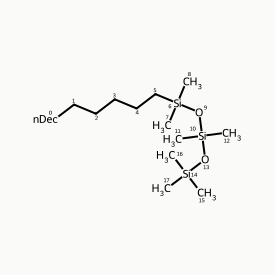 CCCCCCCCCCCCCCC[Si](C)(C)O[Si](C)(C)O[Si](C)(C)C